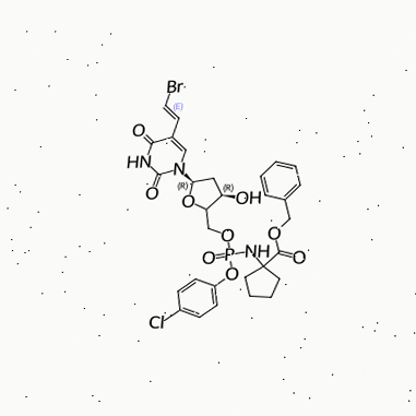 O=C(OCc1ccccc1)C1(NP(=O)(OCC2O[C@@H](n3cc(/C=C/Br)c(=O)[nH]c3=O)C[C@H]2O)Oc2ccc(Cl)cc2)CCCC1